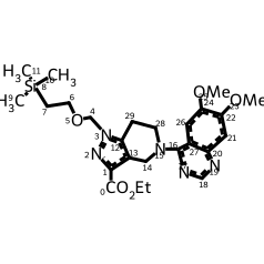 CCOC(=O)c1nn(COCC[Si](C)(C)C)c2c1CN(c1ncnc3cc(OC)c(OC)cc13)CC2